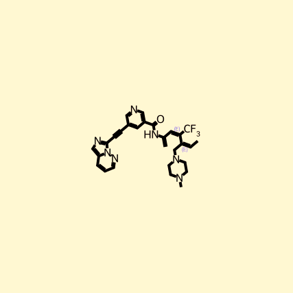 C=C(/C=C(\C(=C/C)CN1CCN(C)CC1)C(F)(F)F)NC(=O)c1cncc(C#Cc2ncc3cccnn23)c1